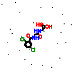 O=C(CNC(=O)c1cc(Cl)ccc1Cl)NCB(O)O